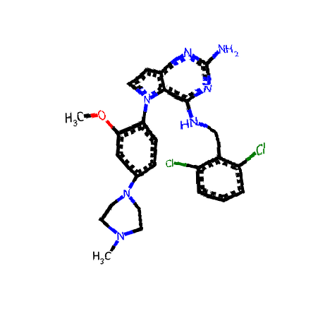 COc1cc(N2CCN(C)CC2)ccc1-n1ccc2nc(N)nc(NCc3c(Cl)cccc3Cl)c21